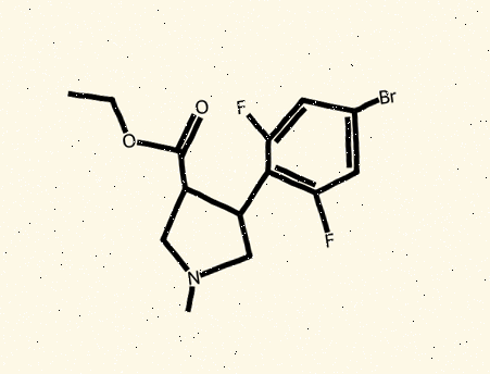 CCOC(=O)C1CN(C)CC1c1c(F)cc(Br)cc1F